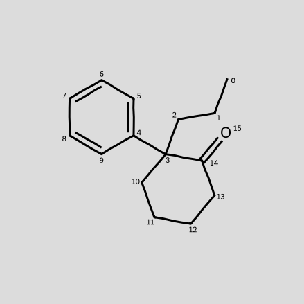 CCCC1(c2ccccc2)CCCCC1=O